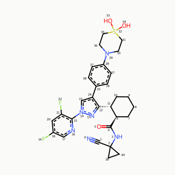 N#CC1(NC(=O)[C@@H]2CCCC[C@H]2c2nn(-c3ncc(F)cc3F)cc2-c2ccc(N3CCS(O)(O)CC3)cc2)CC1